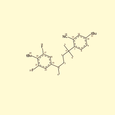 CC(CCC(C)(C)c1ccc(C(C)(C)C)cc1C#N)c1cc(F)c(C(C)(C)C)c(F)c1